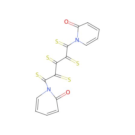 O=c1ccccn1C(=S)C(=S)C(=S)C(=S)C(=S)n1ccccc1=O